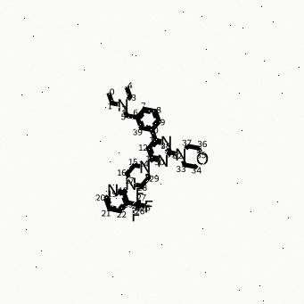 CCN(CC)Cc1cccc(-c2cc(N3CCN(c4ncccc4C(F)(F)F)CC3)nc(N3CCOCC3)n2)c1